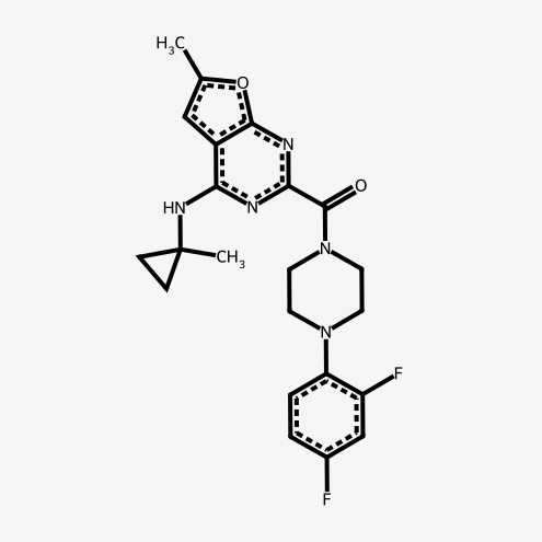 Cc1cc2c(NC3(C)CC3)nc(C(=O)N3CCN(c4ccc(F)cc4F)CC3)nc2o1